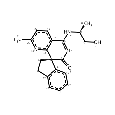 C[C@@H](CO)NC1=NC(=O)[C@@]2(CCc3ccccc32)c2nc(C(F)(F)F)ccc21